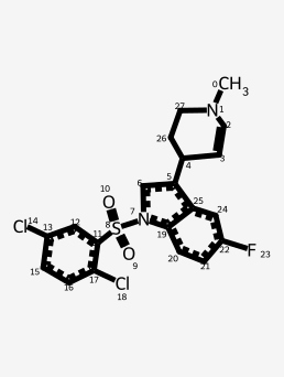 CN1C=CC(c2cn(S(=O)(=O)c3cc(Cl)ccc3Cl)c3ccc(F)cc23)CC1